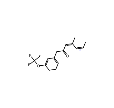 C/C=C\C(C)=CC(=O)CC1=CCCC(OC(F)(F)F)=C1